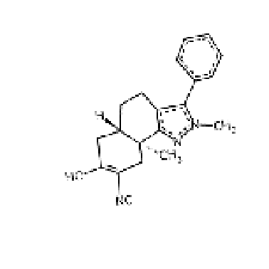 [C-]#[N+]C1=C(O)C[C@@H]2CCc3c(nn(C)c3-c3ccccc3)[C@@]2(C)C1